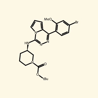 COc1cc(Br)ccc1-c1nnc(N[C@@H]2CCCN(C(=O)OC(C)(C)C)C2)n2cccc12